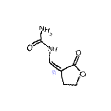 NC(=O)N/C=C1/CCOC1=O